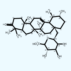 C[C@@H]1CC[C@]2(C[C@@H]3OC(C(=O)O)[C@@H](O)C(O)C3O)CC[C@]3(C)C(=CCC4[C@@]5(C)CCC(=O)C(C)(C)C5CC[C@]43C)C2[C@H]1C